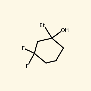 [CH2]CC1(O)CCCC(F)(F)C1